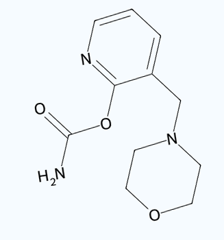 NC(=O)Oc1ncccc1CN1CCOCC1